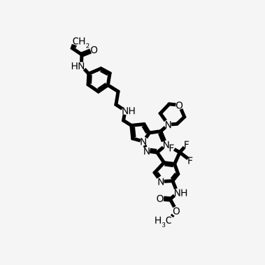 C=CC(=O)Nc1ccc(CCNCc2cc3c(N4CCOCC4)nc(-c4cnc(NC(=O)OC)cc4C(F)(F)F)nn3c2)cc1